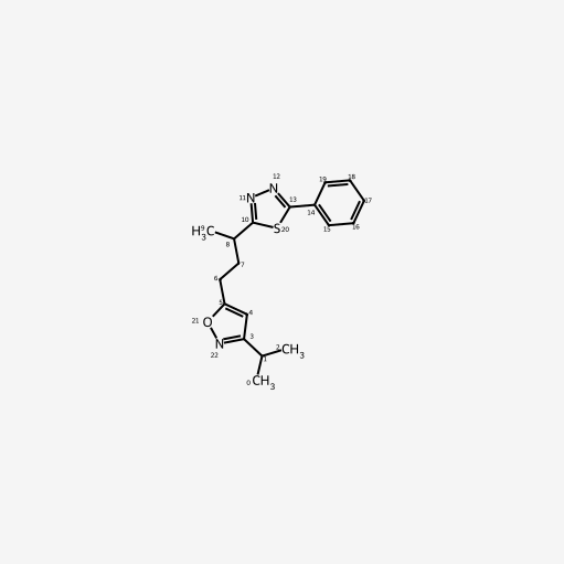 CC(C)c1cc(CCC(C)c2nnc(-c3ccccc3)s2)on1